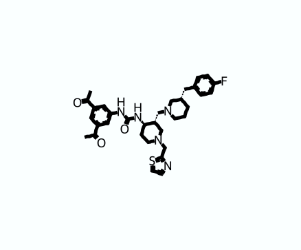 CC(=O)c1cc(NC(=O)N[C@@H]2CCN(Cc3nccs3)C[C@H]2CN2CCC[C@@H](Cc3ccc(F)cc3)C2)cc(C(C)=O)c1